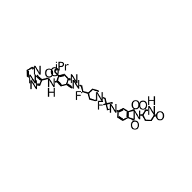 CC(C)Oc1cc2nn(C[C@@H](F)C3CCN(CC4(F)CN(c5ccc6c(c5)C(=O)N(C5CCC(=O)NC5=O)C6=O)C4)CC3)cc2cc1NC(=O)c1cnn2cccnc12